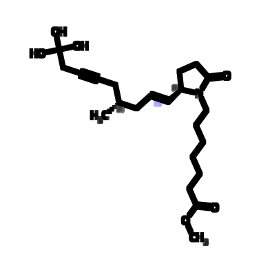 COC(=O)CCCCCCN1C(=O)CC[C@@H]1/C=C/C[C@H](C)CC#CCC(O)(O)O